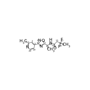 Cc1cc(-c2noc([C@H](C)NC(=O)CC(C)(F)F)n2)ccn1